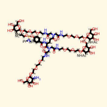 CC(=O)NC1C(OCCOCCOCCNC(=O)CN(CC(=O)NCCOCCOCCOC2OC(CO)C(O)C(O)C2NC(C)=O)C(=O)CCC(NC(=O)c2ccc(OP(OCCC#N)N(C(C)C)C(C)C)cc2)C(=O)N(CC(=O)NCCOCCOCCOC2OC(CO)C(O)C(O)C2N)CC(=O)NCCOCCOCCOC2OC(CO)C(O)C(O)C2NC(C)=O)OC(CO)C(O)C1O